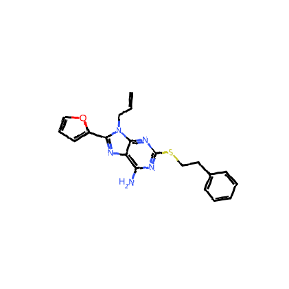 C=CCn1c(-c2ccco2)nc2c(N)nc(SCCc3ccccc3)nc21